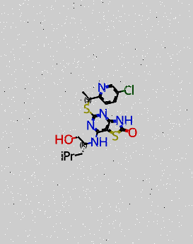 CC(C)C[C@H](CO)Nc1nc(S[C@@H](C)c2ccc(Cl)cn2)nc2[nH]c(=O)sc12